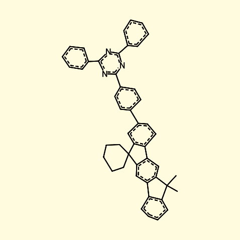 CC1(C)c2ccccc2-c2cc3c(cc21)-c1ccc(-c2ccc(-c4nc(-c5ccccc5)nc(-c5ccccc5)n4)cc2)cc1C31CCCCC1